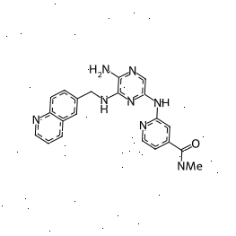 CNC(=O)c1ccnc(Nc2cnc(N)c(NCc3ccc4ncccc4c3)n2)c1